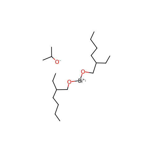 CC(C)[O-].CCCCC(CC)C[O][Bi+][O]CC(CC)CCCC